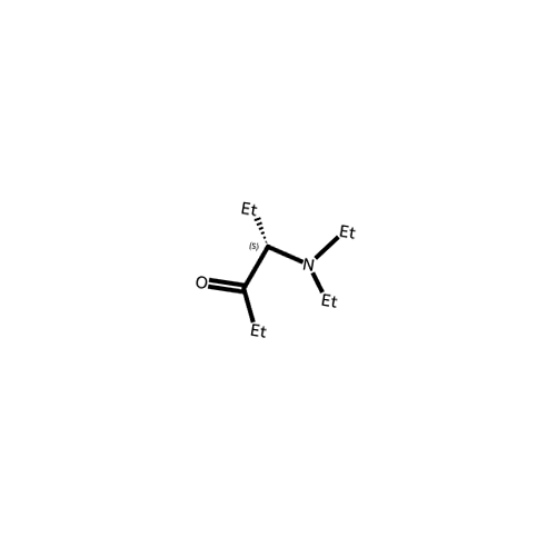 CCC(=O)[C@H](CC)N(CC)CC